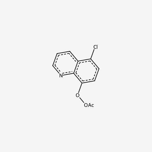 CC(=O)OOc1ccc(Cl)c2cccnc12